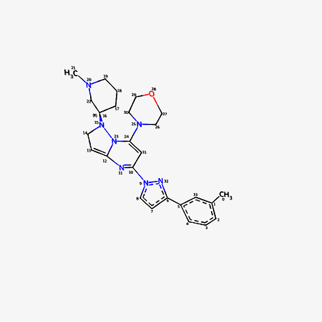 Cc1cccc(-c2ccn(C3=NC4=CCN([C@@H]5CCCN(C)C5)N4C(N4CCOCC4)=C3)n2)c1